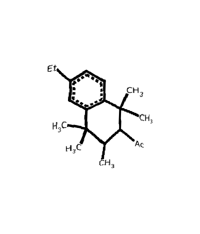 CCc1ccc2c(c1)C(C)(C)C(C)C(C(C)=O)C2(C)C